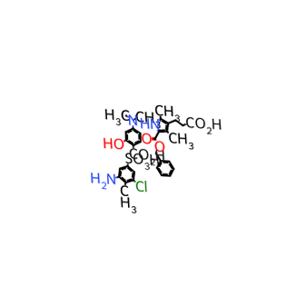 CN(C)c1ccc(C(=O)O)c(O)c1.Cc1[nH]c(C(=O)OCc2ccccc2)c(C)c1CCC(=O)O.Cc1c(N)cc(S(=O)(=O)O)cc1Cl